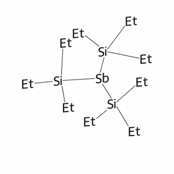 CC[Si](CC)(CC)[Sb]([Si](CC)(CC)CC)[Si](CC)(CC)CC